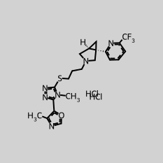 Cc1ncoc1-c1nnc(SCCCN2C[C@H]3C[C@@]3(c3cccc(C(F)(F)F)n3)C2)n1C.Cl.Cl